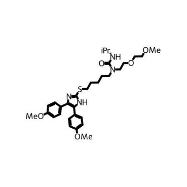 COCCOCCN(CCCCCSc1nc(-c2ccc(OC)cc2)c(-c2ccc(OC)cc2)[nH]1)C(=O)NC(C)C